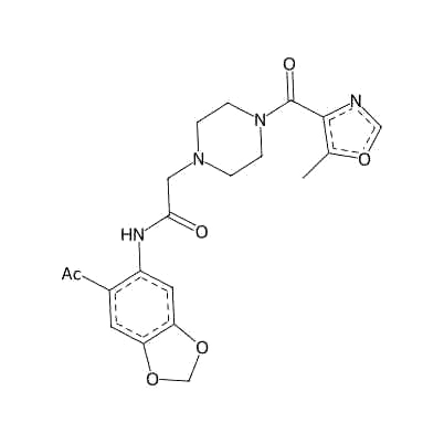 CC(=O)c1cc2c(cc1NC(=O)CN1CCN(C(=O)c3ncoc3C)CC1)OCO2